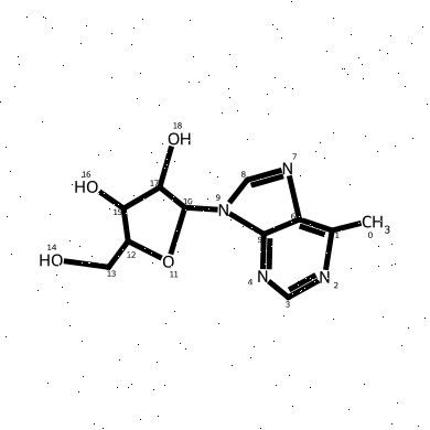 Cc1ncnc2c1ncn2C1OC(CO)C(O)C1O